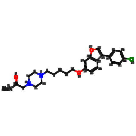 CNC(=O)CN1CCN(CCCCCOc2ccc3c(-c4ccc(Cl)cc4)coc3c2)CC1